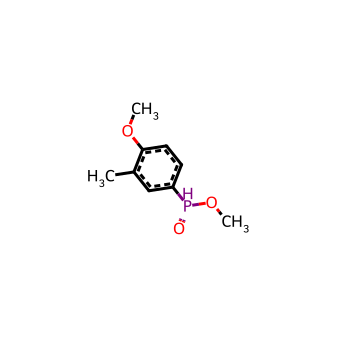 COc1ccc([PH](=O)OC)cc1C